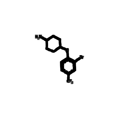 NC1CCC(Oc2ccc(C(F)(F)F)cc2Br)CC1